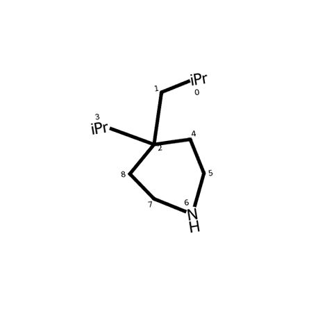 CC(C)CC1(C(C)C)CCNCC1